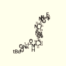 CC(C)(C)OC(=O)N1CC(C(=O)Nc2cccc(-c3cn(Cc4ccc(-c5nnc(C(F)F)o5)cn4)nn3)c2)C1